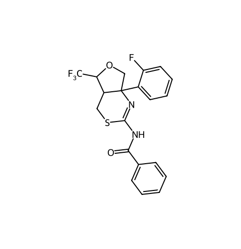 O=C(NC1=NC2(c3ccccc3F)COC(C(F)(F)F)C2CS1)c1ccccc1